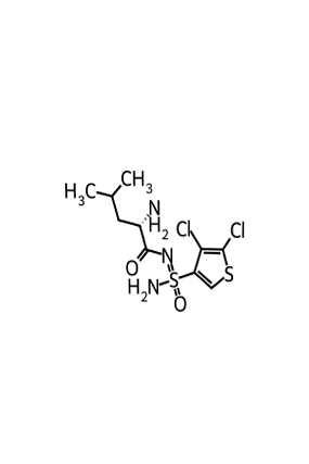 CC(C)C[C@H](N)C(=O)N=S(N)(=O)c1csc(Cl)c1Cl